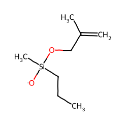 C=C(C)CO[Si](C)([O])CCC